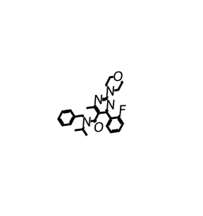 Cc1nc(N2CCOCC2)nc(-c2ccccc2F)c1C(=O)N(Cc1ccccc1)C(C)C